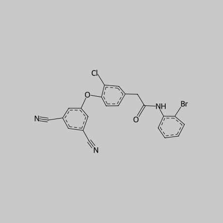 N#Cc1cc(C#N)cc(Oc2ccc(CC(=O)Nc3ccccc3Br)cc2Cl)c1